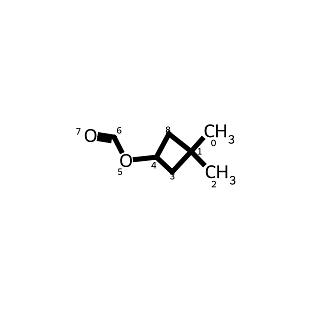 CC1(C)CC(OC=O)C1